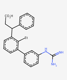 CCc1c(-c2cccc(NC(=N)N)c2)cccc1C(CC(=O)O)c1ccccc1